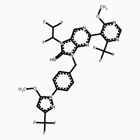 COc1ncnc(C(F)(F)F)c1-c1ncc2c(n1)n(Cc1ccc(-n3nc(C(F)(F)F)cc3OC)cc1)c(=N)n2C(F)C(F)F